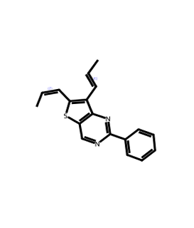 C/C=C\c1sc2cnc(-c3ccccc3)nc2c1/C=C/C